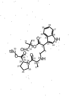 C[C@H](NCCC(C(=O)OC(C)(C)C=O)c1c[nH]c2ccccc12)C(=O)N1CCC[C@H]1C(=O)OC(C)(C)C